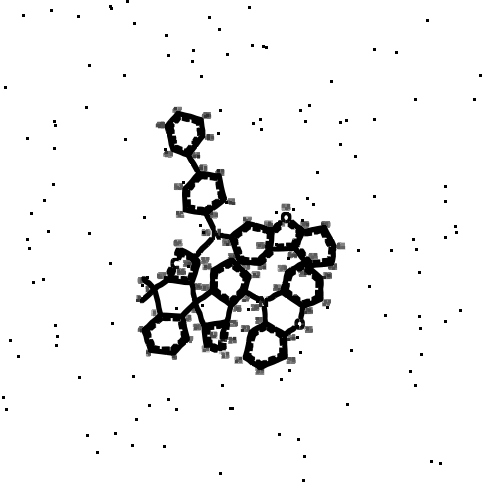 CC1(C)c2ccccc2C2(c3ccccc3-c3c(N4c5ccccc5Oc5ccccc54)cccc32)c2cc(N(c3ccc(-c4ccccc4)cc3)c3ccc4c(c3)oc3ccccc34)ccc21